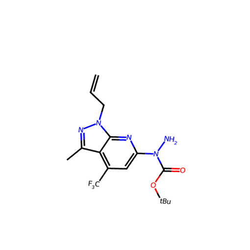 C=CCn1nc(C)c2c(C(F)(F)F)cc(N(N)C(=O)OC(C)(C)C)nc21